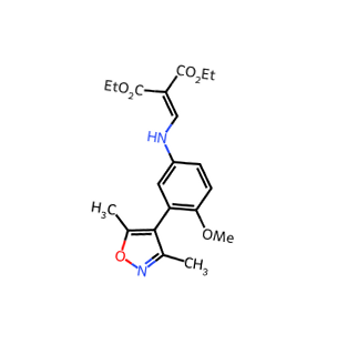 CCOC(=O)C(=CNc1ccc(OC)c(-c2c(C)noc2C)c1)C(=O)OCC